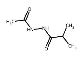 CC(=O)NNC(=O)C(C)C